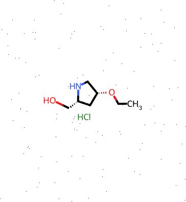 CCO[C@H]1CN[C@@H](CO)C1.Cl